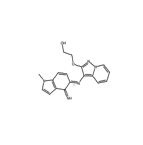 Cn1ccc2c1C=C/C(=N\c1c(OCCO)nn3ccccc13)C2=N